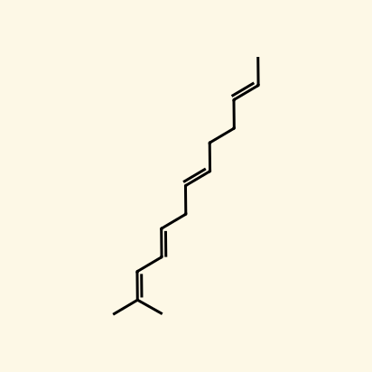 CC=CCCC=CCC=CC=C(C)C